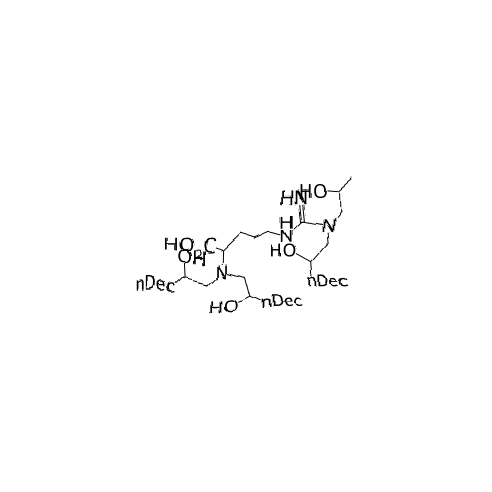 CCCCCCCCCCC(O)CN(CC(C)O)C(=N)NCCCC(C(=O)O)N(CC(O)CCCCCCCCCC)CC(O)CCCCCCCCCC